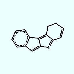 C1=CC2=NC3=Cc4ccccc4C3=C2CC1